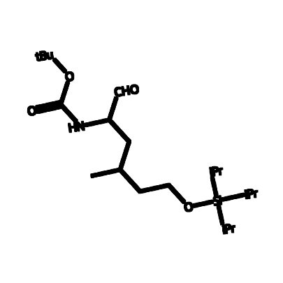 CC(CCO[Si](C(C)C)(C(C)C)C(C)C)CC(C=O)NC(=O)OC(C)(C)C